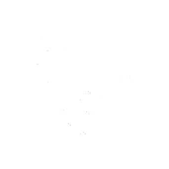 CCCCNc1nc(N)ncc1OCc1ccc(C(=O)OCC)o1